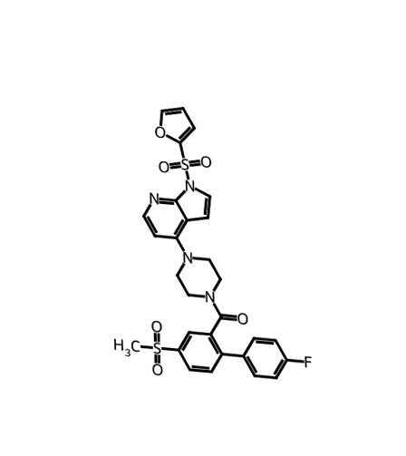 CS(=O)(=O)c1ccc(-c2ccc(F)cc2)c(C(=O)N2CCN(c3ccnc4c3ccn4S(=O)(=O)c3ccco3)CC2)c1